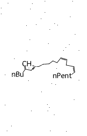 C=C(CCCC)CCCCCCC/C=C\C/C=C\CCCCC